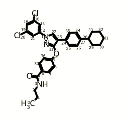 CCCNC(=O)c1ccc(Oc2nn(-c3cc(Cl)cc(Cl)c3)cc2-c2ccc(C3CCCCC3)cc2)cc1